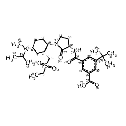 CCS(=O)(=O)C[C@@H]1C[C@H](N(C)C(C)C)CC[C@@H]1N1CC[C@H](NC(=O)c2cc(C(=O)O)cc(C(C)(C)C)c2)C1=O